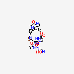 CCn1c(-c2cccnc2[C@H](C)OC)c2c3cc(ccc31)-c1csc(n1)C[C@H](NC(=O)C(C(C)C)N(C)C(=O)N1CC(O)(CN(C)C)C1)C(=O)N1CCC[C@H](N1)C(=O)OCC(C)(C)C2